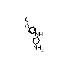 CCCOc1ccc(NC2CCC(N)CC2)cc1